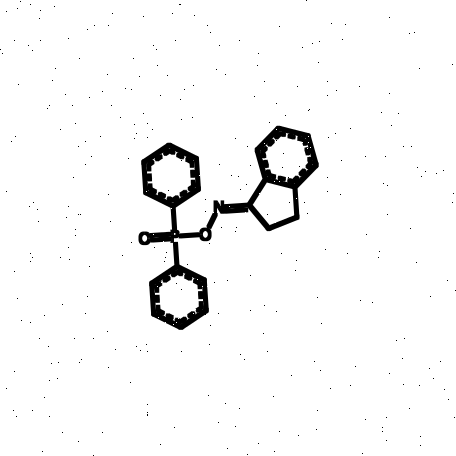 O=P(ON=C1CCc2ccccc21)(c1ccccc1)c1ccccc1